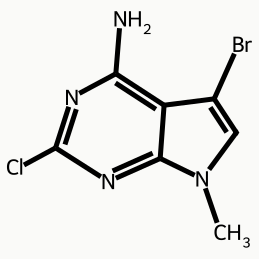 Cn1cc(Br)c2c(N)nc(Cl)nc21